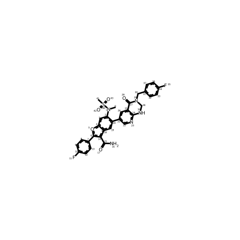 CN(c1cc2oc(-c3ccc(F)cc3)c(C(N)=O)c2cc1-c1cnc2c(c1)C(=O)N(Cc1ccc(F)cc1)CN2)S(C)(=O)=O